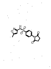 Cc1cc(NS(=O)(=O)c2ccc(N3C(=O)CCC3=O)cc2)no1